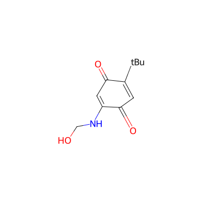 CC(C)(C)C1=CC(=O)C(NCO)=CC1=O